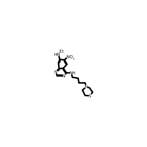 CCNc1cc2ncnc(NCCCCN3CCSCC3)c2cc1[N+](=O)[O-]